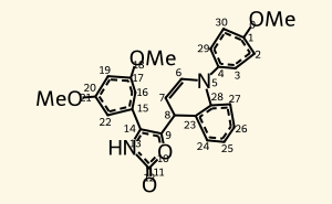 COc1ccc(N2C=CC(c3oc(=O)[nH]c3-c3cc(OC)cc(OC)c3)c3ccccc32)cc1